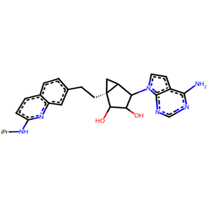 CC(C)Nc1ccc2ccc(CC[C@]34CC3C(n3ccc5c(N)ncnc53)C(O)C4O)cc2n1